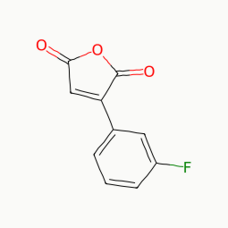 O=C1C=C(c2cccc(F)c2)C(=O)O1